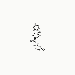 O=C1N[C@]2(CO1)C[C@H](C(=O)N1CCC(F)(c3ccccc3)CC1)C2